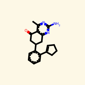 Cc1nc(N)nc2c1C(=O)CC(c1ccccc1C1=CCCC1)C2